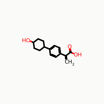 C=C(C(=O)O)c1ccc(C2CCC(O)CC2)cc1